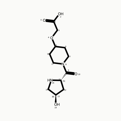 O=C(O)COC1CCN(C(=O)[C@@H]2C[C@@H](O)CN2)CC1